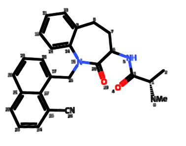 CN[C@@H](C)C(=O)NC1CCc2ccccc2N(Cc2cccc3cccc(C#N)c23)C1=O